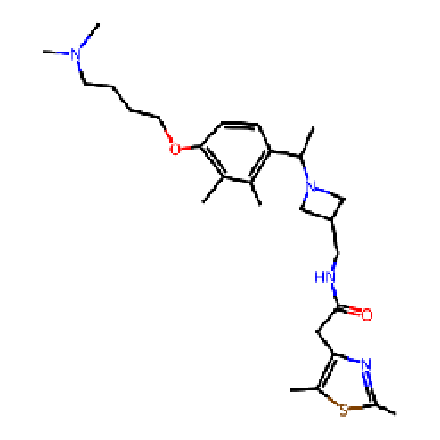 Cc1nc(CC(=O)NCC2CN(C(C)c3ccc(OCCCCN(C)C)c(C)c3C)C2)c(C)s1